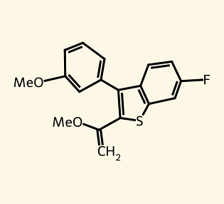 C=C(OC)c1sc2cc(F)ccc2c1-c1cccc(OC)c1